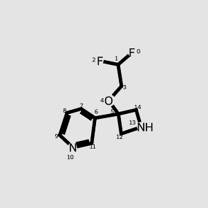 FC(F)COC1(c2cccnc2)CNC1